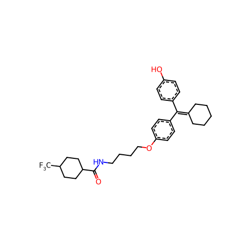 O=C(NCCCCOc1ccc(C(=C2CCCCC2)c2ccc(O)cc2)cc1)C1CCC(C(F)(F)F)CC1